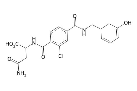 NC(=O)CC(NC(=O)c1ccc(C(=O)NCC2C=CC=C(O)C2)cc1Cl)C(=O)O